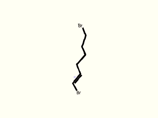 Br/C=C/CCCCBr